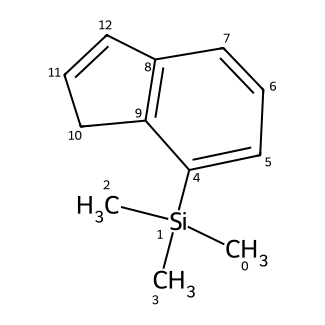 C[Si](C)(C)c1cccc2c1CC=C2